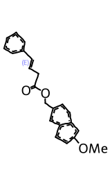 COc1ccc2cc(COC(=O)C/C=C/c3ccccc3)ccc2c1